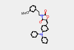 COc1cccc(CCN2C(=O)O/C(=C/c3ccc(N(c4ccccc4)c4ccccc4)cc3)C2=O)c1